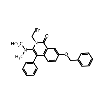 CC(C)Cn1c(N(C)C(=O)O)c(-c2ccccc2)c2ccc(OCc3ccccc3)cc2c1=O